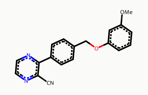 COc1cccc(OCc2ccc(-c3nccnc3C#N)cc2)c1